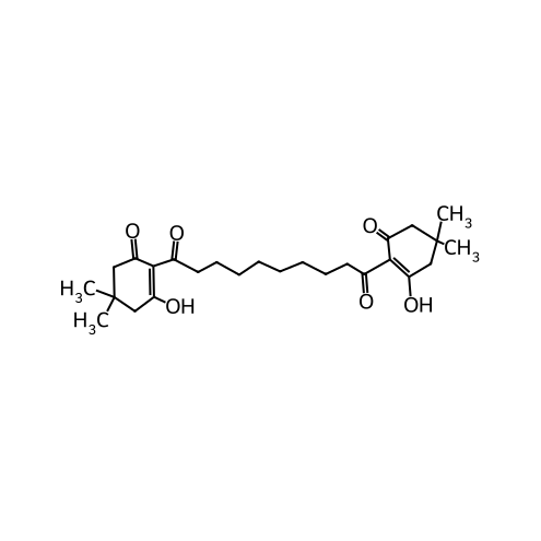 CC1(C)CC(=O)C(C(=O)CCCCCCCCC(=O)C2=C(O)CC(C)(C)CC2=O)=C(O)C1